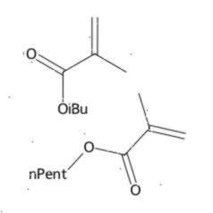 C=C(C)C(=O)OCC(C)C.C=C(C)C(=O)OCCCCC